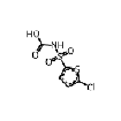 O=C(O)NS(=O)(=O)c1ccc(Cl)s1